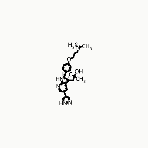 CN(C)CCCOc1ccc(-c2[nH]c3ncc(-c4cn[nH]c4)cc3c2CC(C)(C)O)cc1